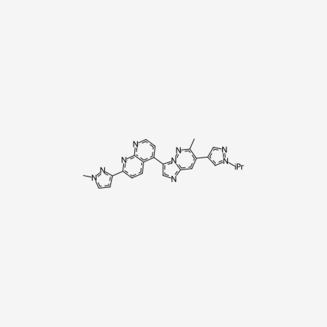 Cc1nn2c(-c3ccnc4nc(-c5ccn(C)n5)ccc34)cnc2cc1-c1cnn(C(C)C)c1